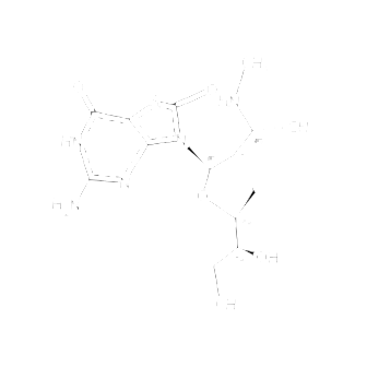 CC[C@H](O)[C@@H]1C[C@@H]([C@@H](C)NC)[C@H](n2c(=O)sc3c(=O)[nH]c(N)nc32)O1